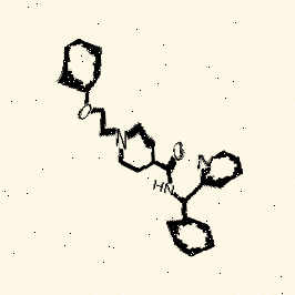 O=C(NC(c1ccccc1)c1ccccn1)C1CCN(CCOc2ccccc2)CC1